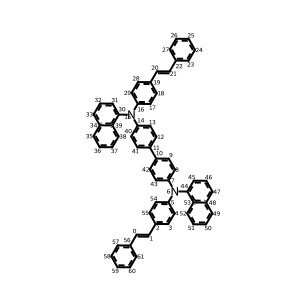 C(=Cc1ccc(N(c2ccc(-c3ccc(N(c4ccc(C=Cc5ccccc5)cc4)c4cccc5ccccc45)cc3)cc2)c2cccc3ccccc23)cc1)c1ccccc1